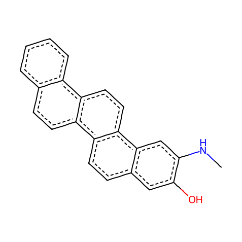 CNc1cc2c(ccc3c2ccc2c4ccccc4ccc23)cc1O